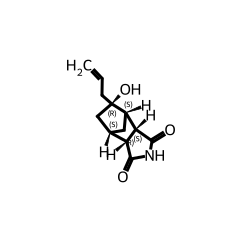 C=CC[C@@]1(O)C[C@@H]2C[C@H]1[C@@H]1C(=O)NC(=O)[C@H]21